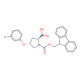 O=C(O)[C@@H]1C[C@@H](Oc2cccc(F)c2)CN1C(=O)OCC1c2ccccc2-c2ccccc21